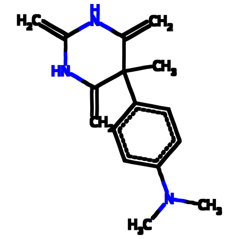 C=C1NC(=C)C(C)(c2ccc(N(C)C)cc2)C(=C)N1